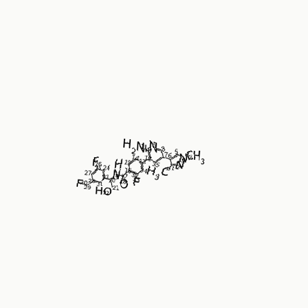 Cc1nn(C)cc1-c1cnc(N)c(-c2ccc(C(=O)NC(CO)c3cc(F)cc(CF)c3)c(F)c2)c1